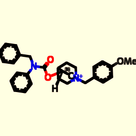 COc1ccc(C[N+]23CCC(CC2)[C@@H](OC(=O)N(Cc2ccccc2)c2ccccc2)C3)cc1